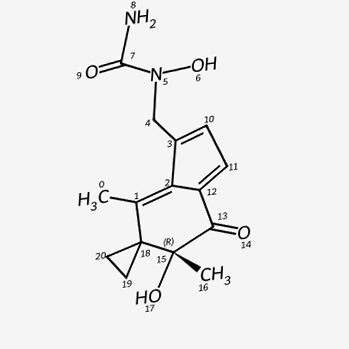 CC1=C2C(CN(O)C(N)=O)=CC=C2C(=O)[C@](C)(O)C12CC2